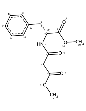 COC(=O)CC(=O)N[C@H](Cc1ccccc1)C(=O)OC